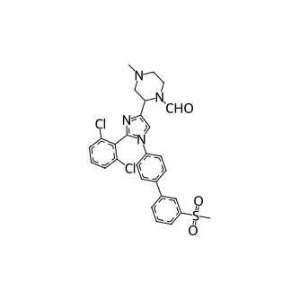 CN1CCN(C=O)C(c2cn(-c3ccc(-c4cccc(S(C)(=O)=O)c4)cc3)c(-c3c(Cl)cccc3Cl)n2)C1